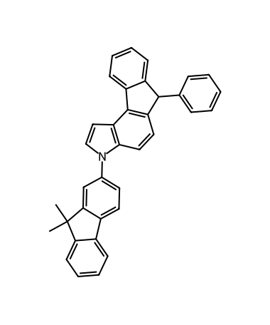 CC1(C)c2ccccc2-c2ccc(-n3ccc4c5c(ccc43)C(c3ccccc3)c3ccccc3-5)cc21